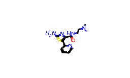 CN(C)CCNC(=O)c1nc(N)sc1-c1ccccn1